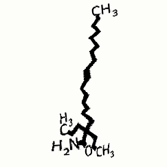 CCCCCCCCC=CCCCCCCC(CCC)(CCC)C(N)=O